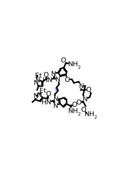 CCn1nc(C)cc1C(=O)Nc1nc2cc(C(N)=O)ccc2n1C/C=C/Cn1c(NC(=O)c2cc(C)nn2CC)nc2cc(C(N)=O)cc(OCCCN3CC4(C3)CN(C(=O)CON)CCO4)c21